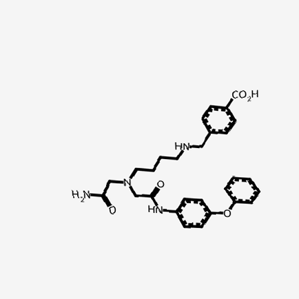 NC(=O)CN(CCCCNCc1ccc(C(=O)O)cc1)CC(=O)Nc1ccc(Oc2ccccc2)cc1